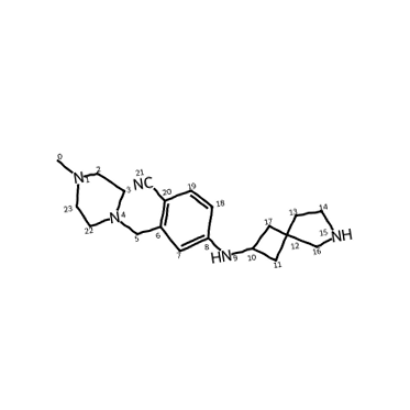 CN1CCN(Cc2cc(NC3CC4(CCNC4)C3)ccc2C#N)CC1